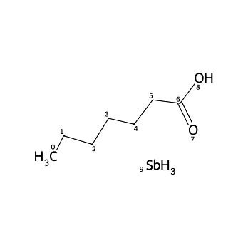 CCCCCCC(=O)O.[SbH3]